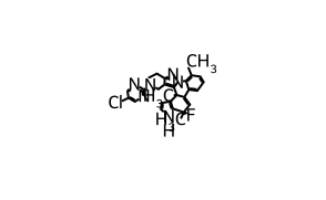 CCc1cccc2c1-n1nc3c(c1C1(C)C2=CC(C)(F)c2[nH]ccc21)CN(c1ncc(Cl)cn1)CC3